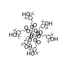 CC(C)(C)c1cc(CCC(=O)OCC(COCC(COC(=O)CCc2cc(C(C)(C)C)c(O)c(C(C)(C)C)c2)(COC(=O)CCc2cc(C(C)(C)C)c(O)c(C(C)(C)C)c2)COC(=O)CCc2cc(C(C)(C)C)c(O)c(C(C)(C)C)c2)(COC(=O)CCc2cc(C(C)(C)C)c(O)c(C(C)(C)C)c2)COC(=O)CCc2cc(C(C)(C)C)c(O)c(C(C)(C)C)c2)cc(C(C)(C)C)c1O